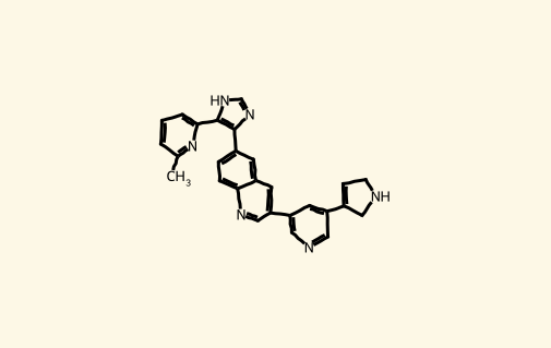 Cc1cccc(-c2[nH]cnc2-c2ccc3ncc(-c4cncc(C5=CCNC5)c4)cc3c2)n1